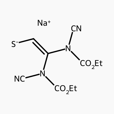 CCOC(=O)N(C#N)C(=C[S-])N(C#N)C(=O)OCC.[Na+]